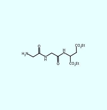 CCOC(=O)CC(NC(=O)CNC(=O)CN)C(=O)OCC